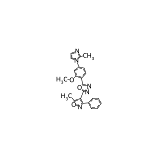 COc1cc(-n2ccnc2C)ccc1-c1nnc(-c2c(-c3ccccc3)noc2C)o1